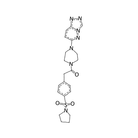 O=C(Cc1ccc(S(=O)(=O)N2CCCC2)cc1)N1CCN(c2ccc3nncn3n2)CC1